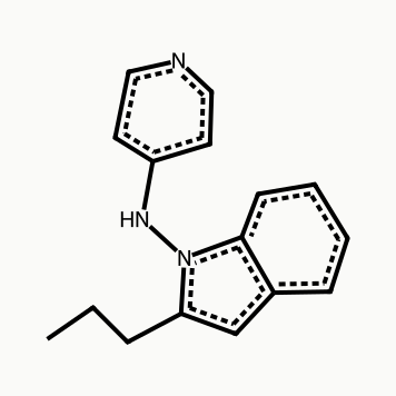 CCCc1cc2ccccc2n1Nc1ccncc1